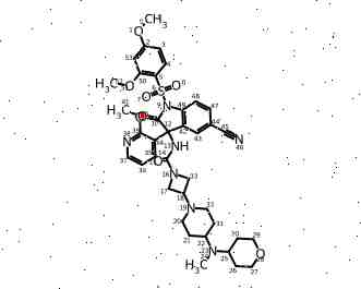 COc1ccc(S(=O)(=O)N2C(=O)C(NC(=O)N3CC(N4CCC(N(C)C5CCOCC5)CC4)C3)(c3cccnc3OC)c3cc(C#N)ccc32)c(OC)c1